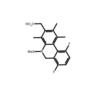 CSN1Cc2c(F)ccc(F)c2-c2c(C)c(C)c(CC(=O)O)c(C)c21